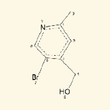 Cc1cc(CO)c(Br)cn1